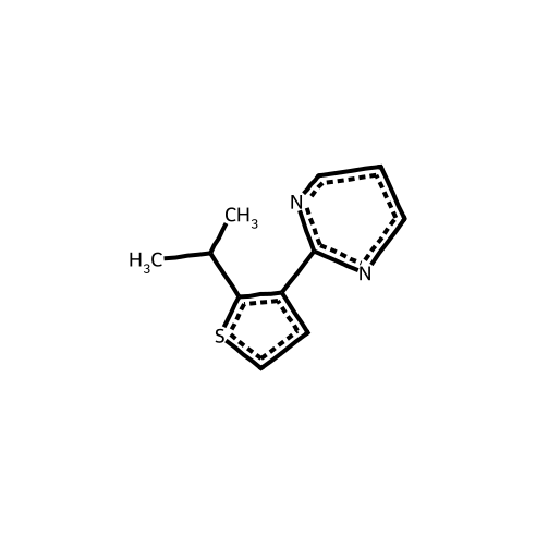 CC(C)c1sccc1-c1ncccn1